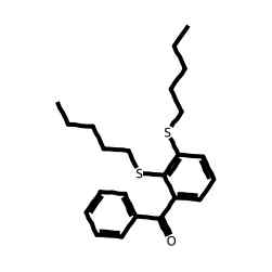 CCCCCSc1cccc(C(=O)c2ccccc2)c1SCCCCC